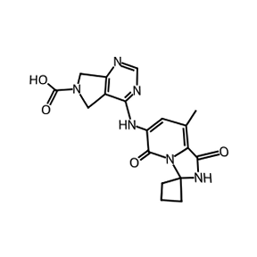 Cc1cc(Nc2ncnc3c2CN(C(=O)O)C3)c(=O)n2c1C(=O)NC21CCC1